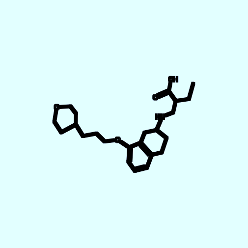 CCC(CNC1CCc2cccc(OCCCC3CCOCC3)c2C1)C(=O)O